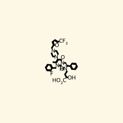 Cc1c(N2CCN(Cc3ccc(C(F)(F)F)o3)CC2)c(=O)n(C[C@H](NCCC(O)C(=O)O)c2ccccc2)c(=O)n1Cc1ccccc1F